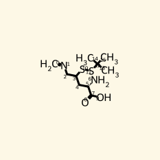 C=NCC(C[C@H](N)C(=O)O)SSC(C)(C)C